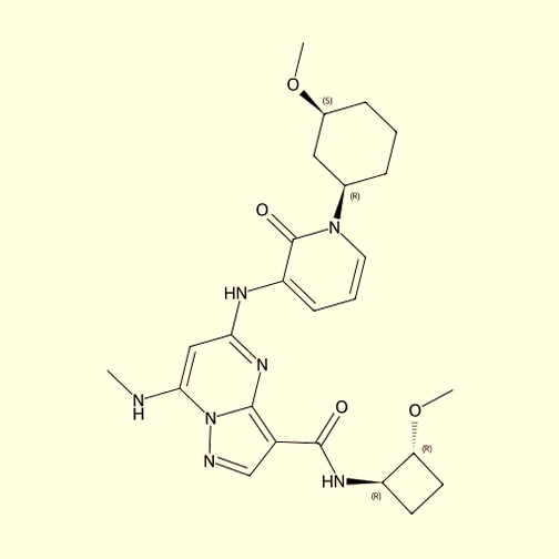 CNc1cc(Nc2cccn([C@@H]3CCC[C@H](OC)C3)c2=O)nc2c(C(=O)N[C@@H]3CC[C@H]3OC)cnn12